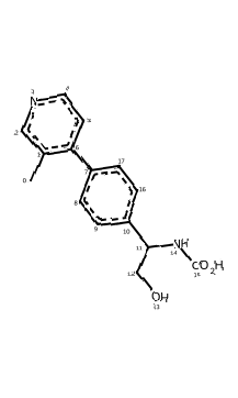 Cc1cnccc1-c1ccc(C(CO)NC(=O)O)cc1